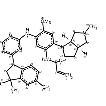 C=CC(O)Nc1cc(Nc2ncnc(N3CC(C)(C)c4nc(C)ccc43)n2)c(OC)cc1N1CC[C@@H]2CN(C)C[C@@H]21